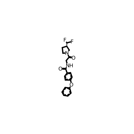 O=C(NCC(=O)N1CC[C@@H](C(F)F)C1)c1ccc(Oc2ccccc2)cc1